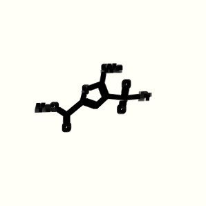 COC(=O)c1cc(S(=O)(=O)C(C)C)c(SC)s1